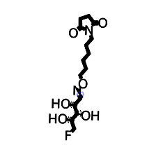 O=C1CCC(=O)N1CCCCCCO/N=C/[C@H](O)[C@H](O)[C@H](O)CF